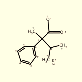 CC(C)C(C)(C(=O)[O-])c1ccccc1.[K+]